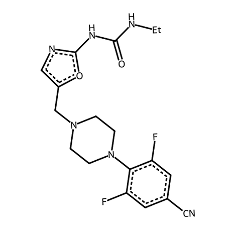 CCNC(=O)Nc1ncc(CN2CCN(c3c(F)cc(C#N)cc3F)CC2)o1